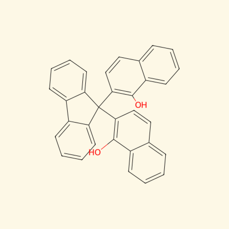 Oc1c(C2(c3ccc4ccccc4c3O)c3ccccc3-c3ccccc32)ccc2ccccc12